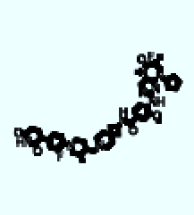 COc1cc(C(=O)NC2CC3(CCN(CC4CCN(c5ccc(C6CCC(=O)NC6=O)cc5F)CC4C)CC3)C2)ccc1NC1=NC2C(C=N1)N(C)C(=O)C(F)(F)CN2C1CCCC1